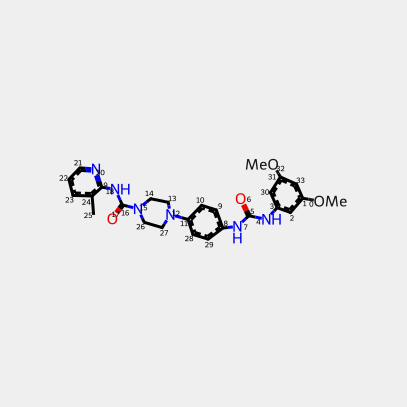 COc1cc(NC(=O)Nc2ccc(N3CCN(C(=O)Nc4ncccc4C)CC3)cc2)cc(OC)c1